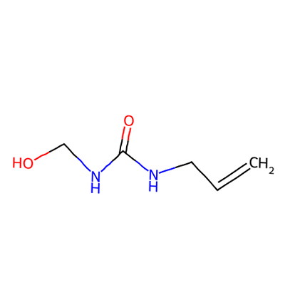 C=CCNC(=O)NCO